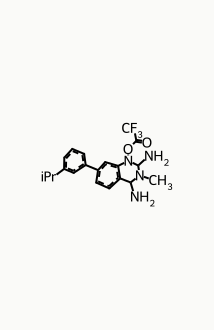 CC(C)c1cccc(-c2ccc3c(c2)N(OC(=O)C(F)(F)F)C(N)N(C)C3N)c1